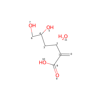 C=C(CCC(O)CO)C(=O)O.O